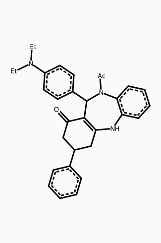 CCN(CC)c1ccc(C2C3=C(CC(c4ccccc4)CC3=O)Nc3ccccc3N2C(C)=O)cc1